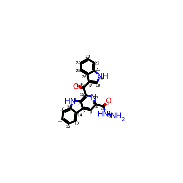 NNC(=O)c1cc2c([nH]c3ccccc32)c(C(=O)c2c[nH]c3ccccc23)n1